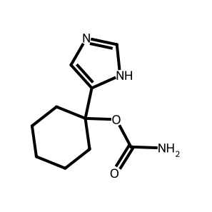 NC(=O)OC1(c2cnc[nH]2)CCCCC1